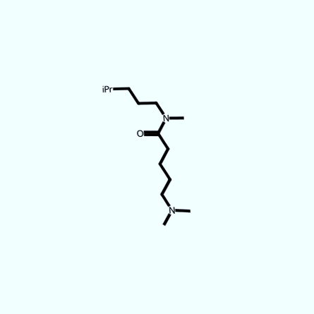 CC(C)CCCN(C)C(=O)CCCCN(C)C